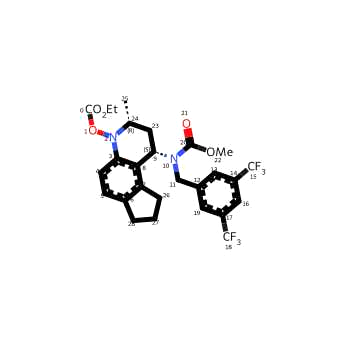 CCOC(=O)ON1c2ccc3c(c2[C@@H](N(Cc2cc(C(F)(F)F)cc(C(F)(F)F)c2)C(=O)OC)C[C@H]1C)CCC3